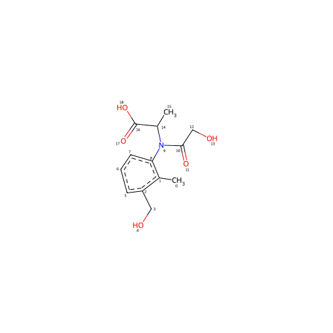 Cc1c(CO)cccc1N(C(=O)CO)C(C)C(=O)O